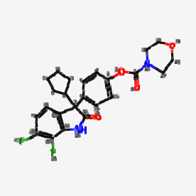 O=C(Oc1ccc(C2(C3CCCC3)C(=O)Nc3c2ccc(F)c3F)cc1)N1CCOCC1